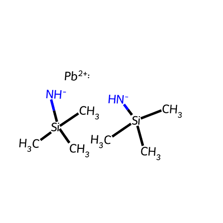 C[Si](C)(C)[NH-].C[Si](C)(C)[NH-].[Pb+2]